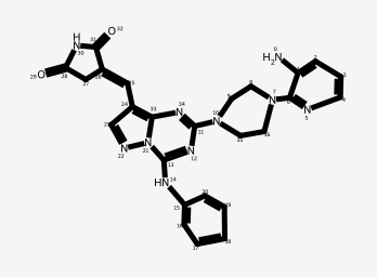 Nc1cccnc1N1CCN(c2nc(Nc3ccccc3)n3ncc(/C=C4\CC(=O)NC4=O)c3n2)CC1